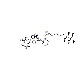 CC(C)(C)OC(=O)N1CCC[C@H]1/C=C\CCCCC(F)(F)C(F)(F)F